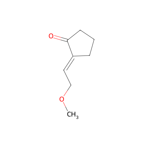 COC/C=C1\CCCC1=O